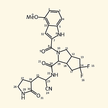 COc1cccc2[nH]c(C(=O)N3CC4CC(F)(F)CC4C3C(=O)NC(C#N)CC3CCNC3=O)cc12